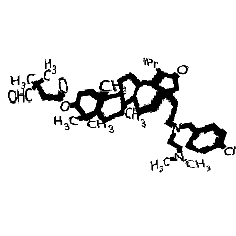 CC(C)C1=C2C3CCC4C(C)(CCC5C(C)(C)C(OC(=O)CC(C)(C)C=O)CCC54C)C3CCC2(CCN(CCN(C)C)Cc2ccc(Cl)cc2)CC1=O